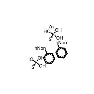 CCCCCCCCCc1ccccc1.CCCCCCCCCc1ccccc1.OP(O)(O)=S.OP(O)(O)=S.[Zn]